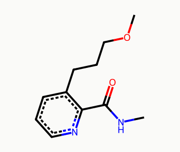 CNC(=O)c1ncccc1CCCOC